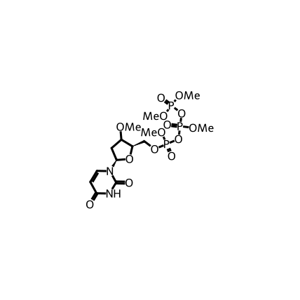 COC1C[C@H](n2ccc(=O)[nH]c2=O)O[C@@H]1COP(=O)(OC)OP(=O)(OC)OP(=O)(OC)OC